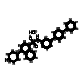 Cl.O=S(=O)(Nc1cccc(-c2ccc(-c3ccccc3)cc2)c1)c1ccc(N2CCNCC2)c2ccccc12